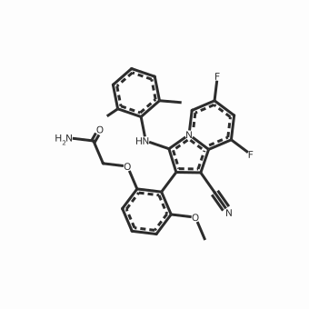 COc1cccc(OCC(N)=O)c1-c1c(C#N)c2c(F)cc(F)cn2c1Nc1c(C)cccc1C